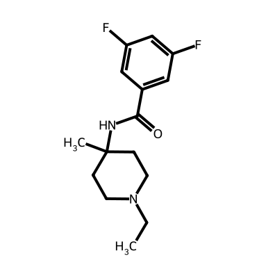 CCN1CCC(C)(NC(=O)c2cc(F)cc(F)c2)CC1